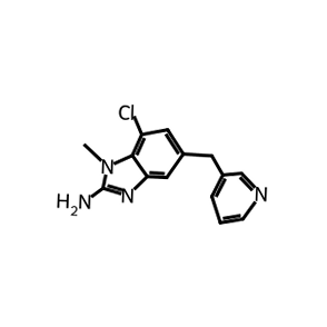 Cn1c(N)nc2cc(Cc3cccnc3)cc(Cl)c21